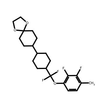 Cc1ccc(OC(F)(F)C2CCC(C3CCC4(CC3)OCCO4)CC2)c(F)c1F